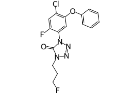 O=c1n(CCCF)nnn1-c1cc(Oc2ccccc2)c(Cl)cc1F